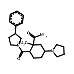 NC(=O)C1(C(=O)O)CC(N2CCCC2)CCC1C(=O)N1CCC(c2ccccc2)C1